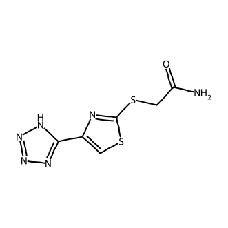 NC(=O)CSc1nc(-c2nnn[nH]2)cs1